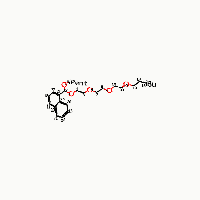 CCCC(C)OC(OCCOCCOCCOCCC(C)CC)c1cccc2ccccc12